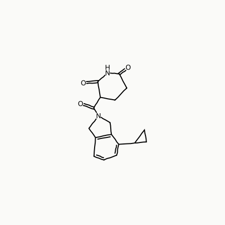 O=C1CCC(C(=O)N2Cc3cccc(C4CC4)c3C2)C(=O)N1